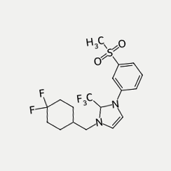 CS(=O)(=O)c1cccc(N2C=CN(CC3CCC(F)(F)CC3)C2C(F)(F)F)c1